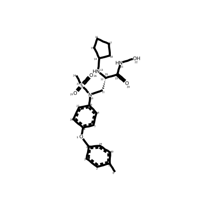 Cc1ccc(Oc2ccc(N(C[C@H](NC3CCCC3)C(=O)NO)S(C)(=O)=O)cc2)cc1